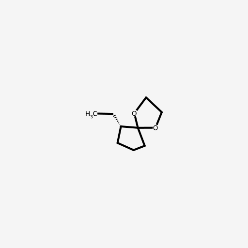 CC[C@H]1CCCC12OCCO2